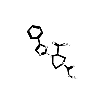 COC(=O)C1CN(C(=O)OC(C)(C)C)CC[C@@H]1c1ncc(-c2ccccc2)o1